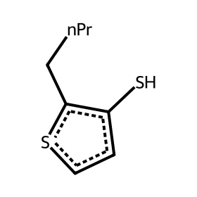 CCCCc1sccc1S